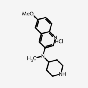 COc1ccc2ncc(N(C)C3CCNCC3)cc2c1.Cl